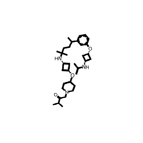 CC(C)N[C@H]1C[C@H](Oc2cccc(C(C)CCC(C)(C)N[C@H]3C[C@H](OC4CCN(CC(=O)C(C)C)CC4)C3)c2)C1